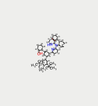 CC(C)(C)c1cc(-c2cc(-c3cccc(N(c4ccccc4-c4ccccc4)C4C=CC=CN4)n3)cc(-c3ccccc3O)c2)cc(C(C)(C)C)c1